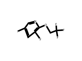 Fc1cc(I)cnc1OCC(F)(F)F